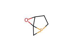 C1CP2CC23OC13